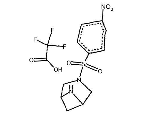 O=C(O)C(F)(F)F.O=[N+]([O-])c1ccc(S(=O)(=O)N2CC3CC(C2)N3)cc1